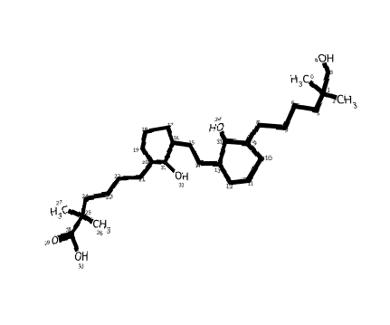 CC(C)(CO)CCCCC1CCCC(CCC2CCCC(CCCCC(C)(C)C(=O)O)C2O)C1O